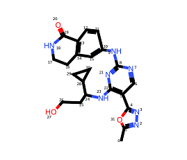 Cc1nnc(-c2cnc(Nc3ccc4c(c3)CCNC4=O)nc2NC(CCO)C2CC2)o1